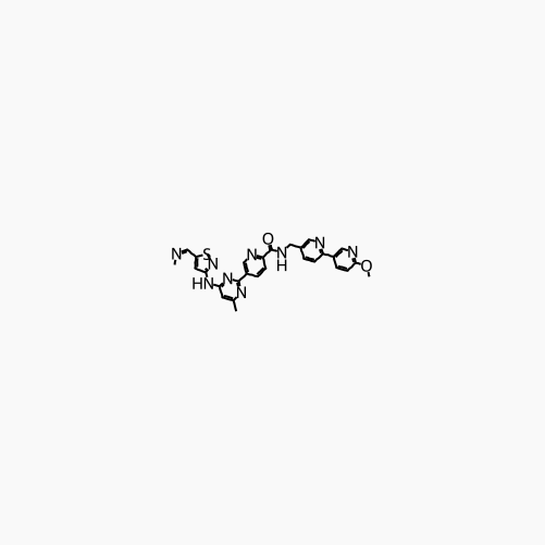 C/N=C\c1cc(Nc2cc(C)nc(-c3ccc(C(=O)NCc4ccc(-c5ccc(OC)nc5)nc4)nc3)n2)ns1